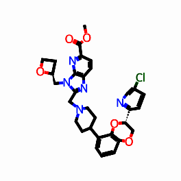 COC(=O)c1ccc2nc(CN3CCC(c4cccc5c4O[C@H](c4ccc(Cl)cn4)CO5)CC3)n(C[C@@H]3CCO3)c2n1